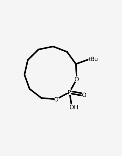 CC(C)(C)C1CCCCCCCOP(=O)(O)O1